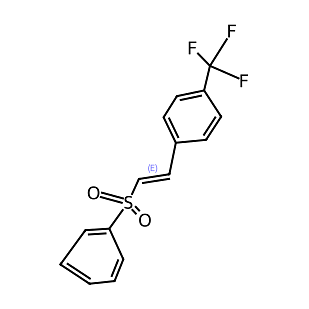 O=S(=O)(/C=C/c1ccc(C(F)(F)F)cc1)c1ccccc1